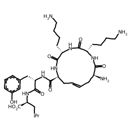 CC(C)C[C@H](NC(=O)[C@H](Cc1cccc(O)c1)NC(=O)[C@@H]1C/C=C/C[C@H](N)C(=O)N[C@@H](CCCCN)C(=O)N[C@@H](CCCCN)C(=O)N1)C(=O)O